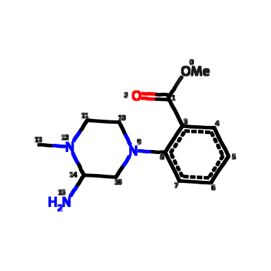 COC(=O)c1ccccc1N1CCN(C)C(N)C1